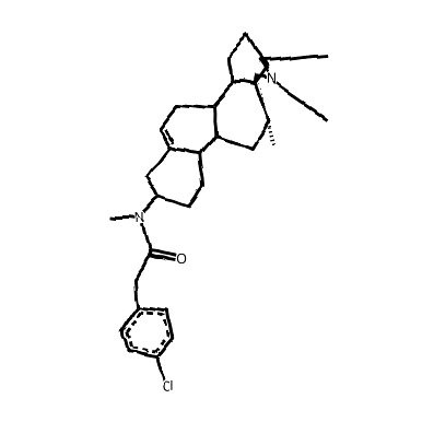 CC1C2CCC3C4CC=C5CC(N(C)C(=O)Cc6ccc(Cl)cc6)CCC5C4CCC32[C@H](C)N1C